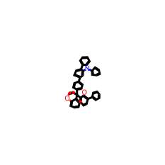 c1ccc(-c2cccc3c2Oc2cc(-c4ccc5c6ccccc6n(-c6ccccc6)c5c4)ccc2C32c3ccccc3Oc3ccccc32)cc1